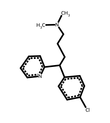 CN(C)CCCC(c1ccc(Cl)cc1)c1ccccn1